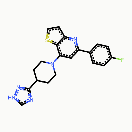 Fc1ccc(-c2cc(N3CCC(c4nc[nH]n4)CC3)c3sccc3n2)cc1